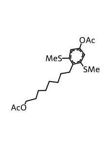 CSc1cc(OC(C)=O)cc(SC)c1CCCCCCCCOC(C)=O